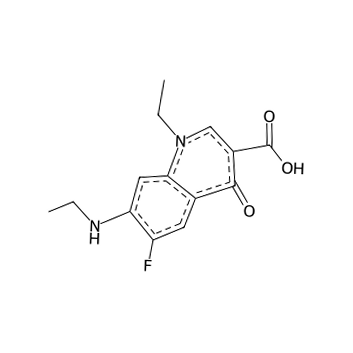 CCNc1cc2c(cc1F)c(=O)c(C(=O)O)cn2CC